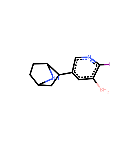 Bc1cc(C2CC3CCC2N3)cnc1I